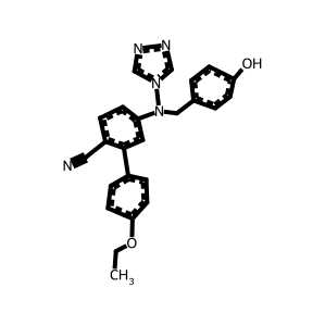 CCOc1ccc(-c2cc(N(Cc3ccc(O)cc3)n3cnnc3)ccc2C#N)cc1